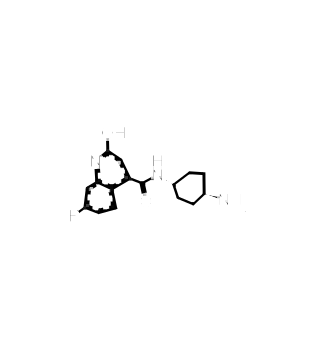 N[C@H]1CC[C@H](NC(=O)c2cc(O)nc3cc(F)ccc23)CC1